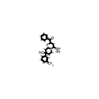 CC(C)NC(CC(F)C(=O)c1ccccc1)N1CCC(O)(c2cccc(C(F)(F)F)c2)CC1